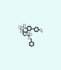 COc1ccc(-c2ccc3c(c2)[C@H]2[C@H](CCN2C(=O)OCc2ccccc2)[C@@H](CO)N3)cc1